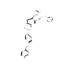 CC[C@@H](c1ccccc1)N1Cc2cc3c(cc2C[C@H]1C(=O)O)OC[C@H](c1ccc(OCc2ccc(Cl)c(Cl)c2)cc1)O3